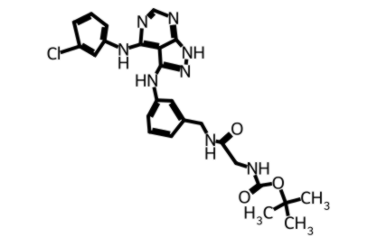 CC(C)(C)OC(=O)NCC(=O)NCc1cccc(Nc2n[nH]c3ncnc(Nc4cccc(Cl)c4)c23)c1